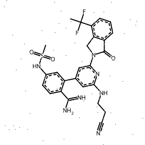 CC(F)(F)c1cccc2c1CN(c1cc(-c3cc(NS(C)(=O)=O)ccc3C(=N)N)cc(NCCC#N)n1)C2=O